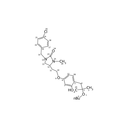 CCCCOC(C)(Cc1ccc(OCCC2CN(Cc3ccc(Cl)cc3)C(=O)N2C)cc1)C(=O)O